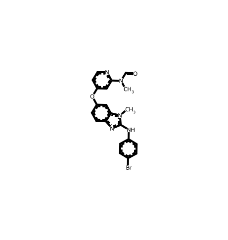 CN(C=O)c1cc(Oc2ccc3nc(Nc4ccc(Br)cc4)n(C)c3c2)ccn1